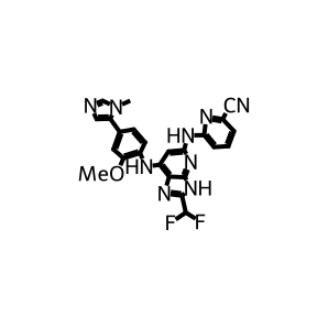 COc1cc(-c2cncn2C)ccc1Nc1cc(Nc2cccc(C#N)n2)nc2[nH]c(C(F)F)nc12